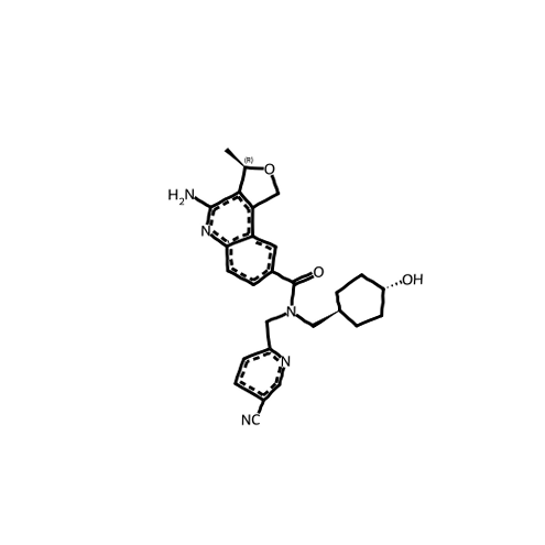 C[C@H]1OCc2c1c(N)nc1ccc(C(=O)N(Cc3ccc(C#N)cn3)C[C@H]3CC[C@H](O)CC3)cc21